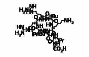 CCCC[C@H](NC(=O)[C@H](CCCCN)NC(=O)[C@@H](NC(=O)[C@H](CCCNC(=N)N)NC(=O)[C@H](CCCNC(=N)N)NC(=O)[C@@H](N)C(C)C)[C@@H](C)CC)C(=O)N[C@@H](CC(C)C)C(=O)NCC(=O)O